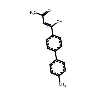 Cc1ccc(-c2ccc(/C(O)=C/C(=O)C(F)(F)F)cc2)cc1